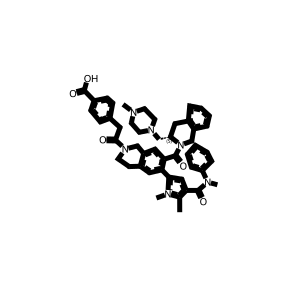 Cc1c(C(=O)N(C)c2ccccc2)cc(-c2cc3c(cc2C(=O)N2Cc4ccccc4C[C@H]2CN2CCN(C)CC2)CN(C(=O)Cc2ccc(C(=O)O)cc2)CC3)n1C